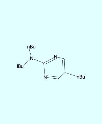 CCCCc1cnc(N(CCCC)C(C)CC)nc1